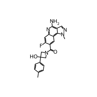 Cc1ccc(C2(O)CN(C(=O)c3cc4c(cc3F)nc(N)c3cnn(C)c34)C2)cc1